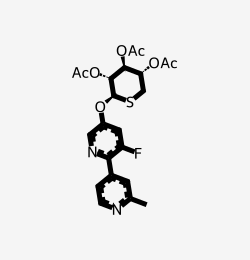 CC(=O)O[C@@H]1[C@@H](OC(C)=O)[C@H](OC(C)=O)CS[C@H]1Oc1cnc(-c2ccnc(C)c2)c(F)c1